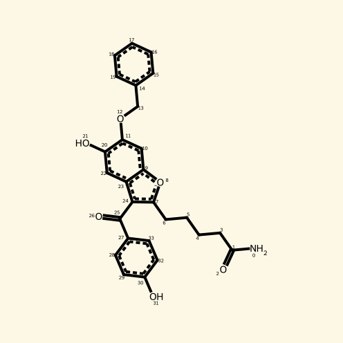 NC(=O)CCCCc1oc2cc(OCc3ccccc3)c(O)cc2c1C(=O)c1ccc(O)cc1